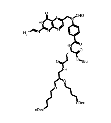 C/C=N/c1nc2ncc(CN(C=O)c3ccc(C(=O)N[C@@H](CCC(=O)NCC(COCCCCCCCCCCCCCC)OCCCCCCCCCCCCCC)C(=O)OC(C)(C)C)cc3)nc2c(=O)[nH]1